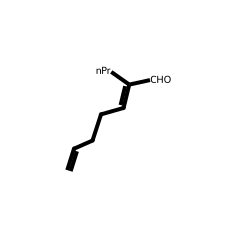 C=CCCC=C(C=O)CCC